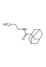 O=C(NCCS(=O)(=O)O)C12CC3CC(CC(C3)C1)C2